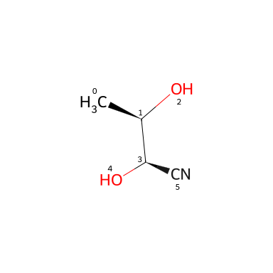 C[C@@H](O)[C@H](O)C#N